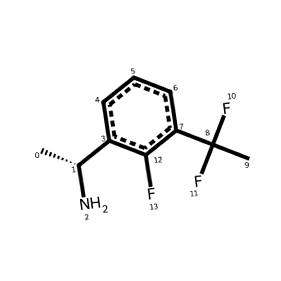 C[C@@H](N)c1cccc(C(C)(F)F)c1F